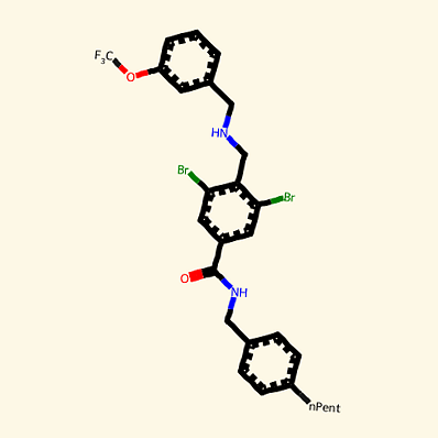 CCCCCc1ccc(CNC(=O)c2cc(Br)c(CNCc3cccc(OC(F)(F)F)c3)c(Br)c2)cc1